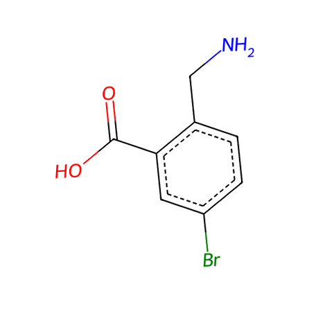 NCc1ccc(Br)cc1C(=O)O